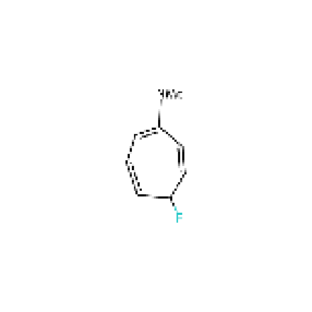 CNC1=CC=CC(F)C=C1